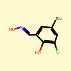 CC(C)(C)c1cc(Cl)c(O)c(C=NO)c1